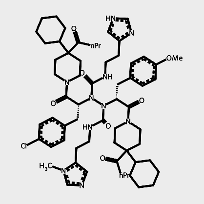 CCCC(=O)C1(C2CCCCC2)CCN(C(=O)[C@@H](Cc2ccc(Cl)cc2)N(C(=O)NCCc2c[nH]cn2)N(C(=O)NCCc2cncn2C)[C@H](Cc2ccc(OC)cc2)C(=O)N2CCC(C(=O)CCC)(C3CCCCC3)CC2)CC1